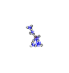 C1=Cc2c(n(-c3cccc(-c4nc(-c5ccccc5)nc(-c5ccc(-n6c7ccccc7c7ccccc76)c(-n6c7ccccc7c7cc(-c8ccc9c(c8)c8ccccc8n9Cc8ccc9c(c8)c8ccccc8n9-c8ccccc8)ccc76)c5)n4)c3)c3ccccc23)CC1